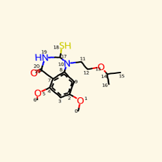 COc1cc(OC)c2c(c1)N(CCOC(C)C)C(S)NC2=O